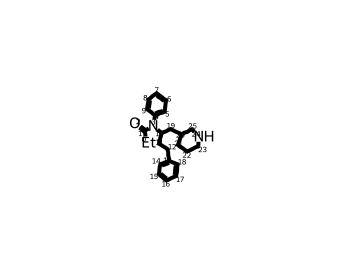 CCC(=O)N(c1ccccc1)C(CCc1ccccc1)CC1CCCNC1